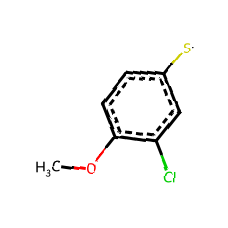 COc1ccc([S])cc1Cl